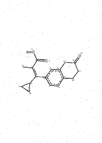 COC(=O)C(C)=C(c1ccc2c(c1)CC(=O)CC2)C1CC1